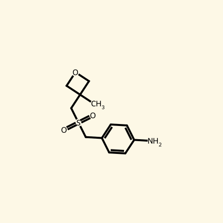 CC1(CS(=O)(=O)Cc2ccc(N)cc2)COC1